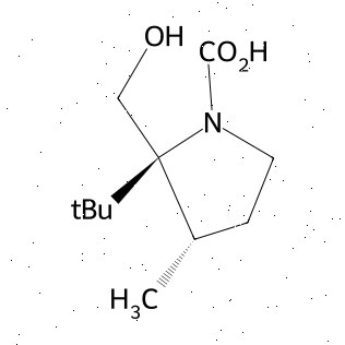 C[C@H]1CCN(C(=O)O)[C@]1(CO)C(C)(C)C